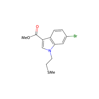 COC(=O)c1cn(CCSC)c2cc(Br)ccc12